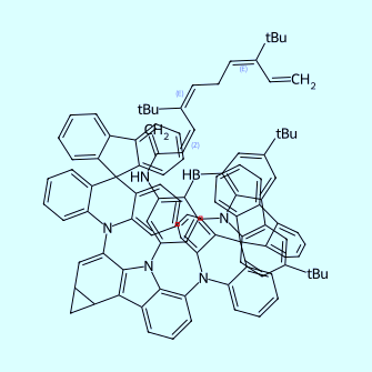 C=C/C(=C\C/C=C(\C=C/C(=C)Nc1cc(-n2c3c(c4cccc(N5c6ccccc6C6(c7ccccc7-c7ccccc76)c6ccccc65)c42)C2CC2C=C3N2c3ccccc3C3(c4ccccc4-c4ccccc43)c3ccccc32)cc2c1Bc1cc(C(C)(C)C)cc3c4cc(C(C)(C)C)ccc4n-2c13)C(C)(C)C)C(C)(C)C